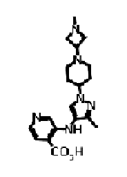 Cc1nn(C2CCN(C3CN(C)C3)CC2)cc1Nc1cnccc1C(=O)O